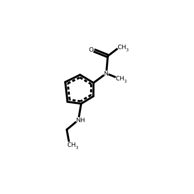 CCNc1cccc(N(C)C(C)=O)c1